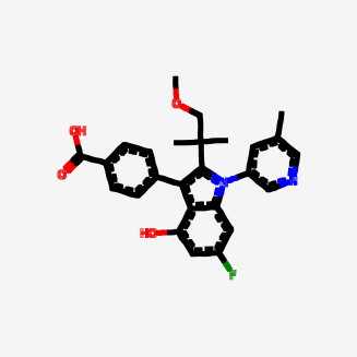 COCC(C)(C)c1c(-c2ccc(C(=O)O)cc2)c2c(O)cc(F)cc2n1-c1cncc(C)c1